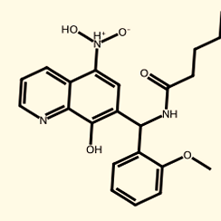 CCCCC(=O)NC(c1ccccc1OC)c1cc([NH+]([O-])O)c2cccnc2c1O